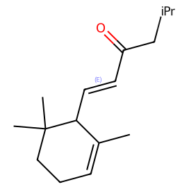 CC1=CCCC(C)(C)C1/C=C/C(=O)CC(C)C